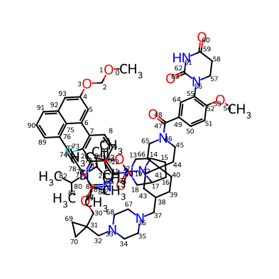 COCOc1cc(-c2ccc3c(N4CC5CCC(C4)N5C(=O)OC(C)(C)C)nc(OCC4(CN5CCN(CC6CCC7(CC6)CCN(C(=O)c6ccc(OC)c(N8CCC(=O)NC8=O)c6)CC7)CC5)CC4)nc3c2F)c2c(C#C[Si](C(C)C)(C(C)C)C(C)C)cccc2c1